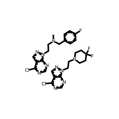 CN(CCn1ncc2c(Cl)ncnc21)Cc1ccc(F)cc1.FC1(F)CCN(CCn2ncc3c(Cl)ncnc32)CC1